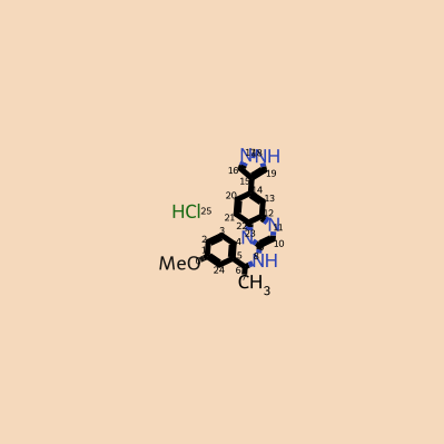 COc1cccc(C(C)Nc2cnc3cc(-c4cn[nH]c4)ccc3n2)c1.Cl